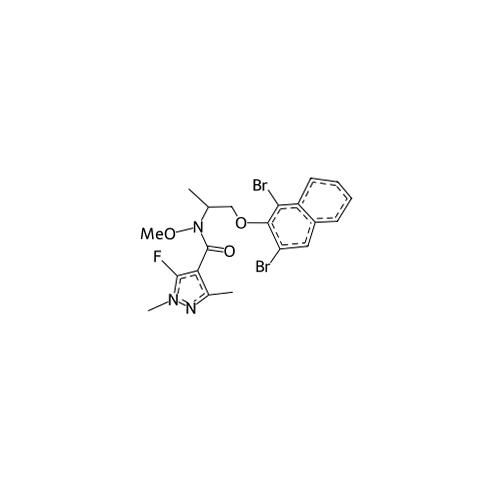 CON(C(=O)c1c(C)nn(C)c1F)C(C)COc1c(Br)cc2ccccc2c1Br